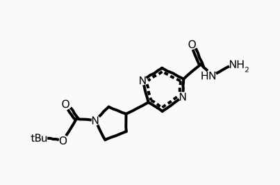 CC(C)(C)OC(=O)N1CCC(c2cnc(C(=O)NN)cn2)C1